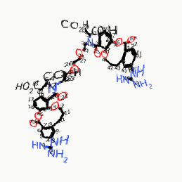 N=C(N)Nc1ccc2c(c1)CCCOc1c(cccc1C(=O)N(CCOCCOCCN(C(=O)c1cccc3c1OCCCc1cc(NC(=N)N)ccc1C(=O)O3)[C@H](CC(=O)O)C(=O)O)[C@H](CC(=O)O)C(=O)O)OC2=O